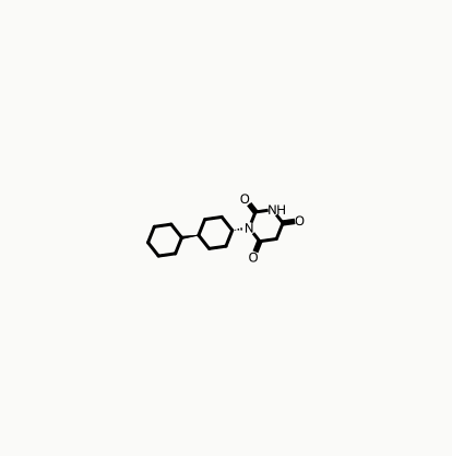 O=C1CC(=O)N([C@H]2CC[C@H](C3CCCCC3)CC2)C(=O)N1